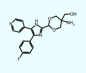 NC1(CO)COC(c2nc(-c3ccc(F)cc3)c(-c3ccncc3)[nH]2)OC1